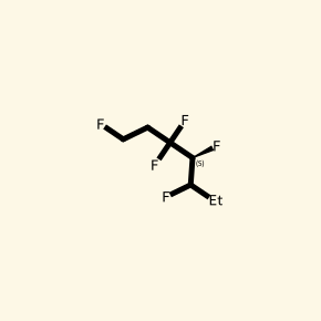 [CH2]CC(F)[C@H](F)C(F)(F)CCF